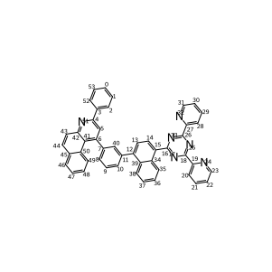 c1ccc(-c2cc(-c3cccc(-c4ccc(-c5nc(-c6ccccn6)nc(-c6ccccn6)n5)c5ccccc45)c3)c3c(ccc4ccccc43)n2)cc1